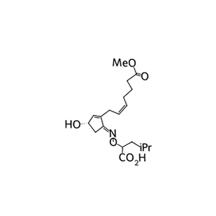 COC(=O)CCC/C=C\CC1=C[C@@H](O)CC1=NOC(CC(C)C)C(=O)O